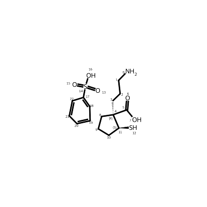 NCCC[C@@]1(C(=O)O)CCC[C@@H]1S.O=S(=O)(O)c1ccccc1